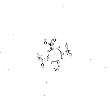 O=[N+]([O-])N1CN(CBr)CN([N+](=O)[O-])CN([N+](=O)[O-])C1